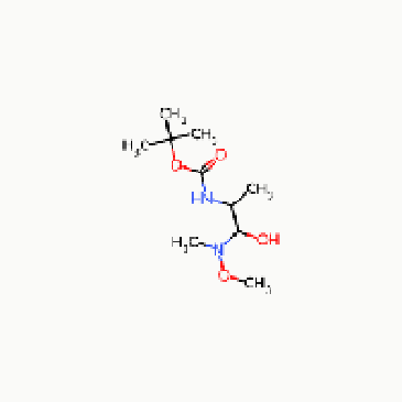 CON(C)C(O)C(C)NC(=O)OC(C)(C)C